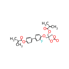 C=C(C)C(=O)OCC1(COc2ccc(-c3ccc(OC(=O)C(=C)C)cc3)cc2F)COC(=O)OC1